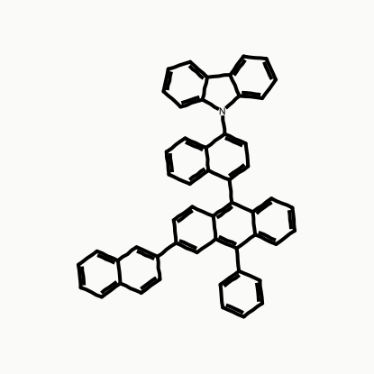 c1ccc(-c2c3ccccc3c(-c3ccc(-n4c5ccccc5c5ccccc54)c4ccccc34)c3ccc(-c4ccc5ccccc5c4)cc23)cc1